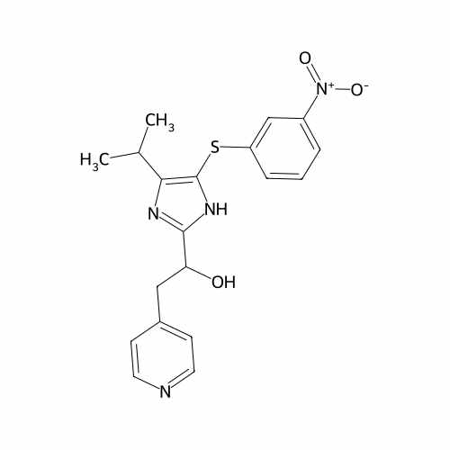 CC(C)c1nc(C(O)Cc2ccncc2)[nH]c1Sc1cccc([N+](=O)[O-])c1